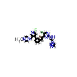 CN1CCN(Cc2cnc(F)cc2-c2cccc3cc(-c4nc(NCCn5ccnn5)ncc4F)sc23)CC1